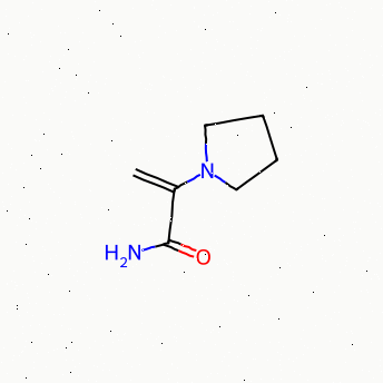 C=C(C(N)=O)N1CCCC1